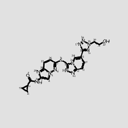 O=C(Nc1cn2nc(Sc3nnc4ccc(-c5nnn(CCO)n5)cn34)ccc2n1)C1CC1